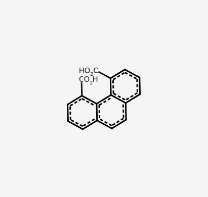 O=C(O)c1cccc2ccc3cccc(C(=O)O)c3c12